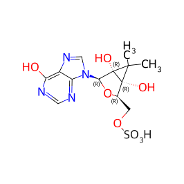 CC1(C)[C@]2(O)[C@H](n3cnc4c(O)ncnc43)O[C@H](COS(=O)(=O)O)[C@]12O